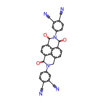 N#Cc1ccc(N2Cc3ccc4c5c(ccc(c35)C2=O)C(=O)N(c2ccc(C#N)c(C#N)c2)C4=O)cc1C#N